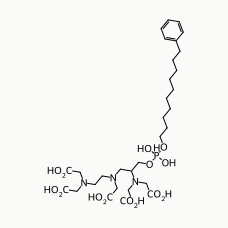 O=C(O)CN(CCN(CC(=O)O)CC(CO[PH](O)(O)OCCCCCCCCCCc1ccccc1)N(CC(=O)O)CC(=O)O)CC(=O)O